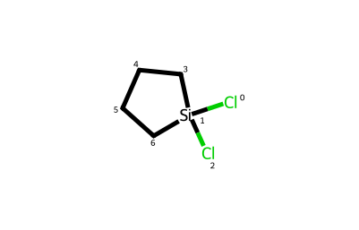 Cl[Si]1(Cl)CCCC1